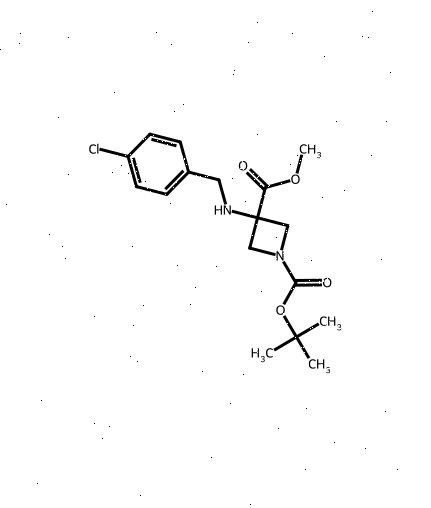 COC(=O)C1(NCc2ccc(Cl)cc2)CN(C(=O)OC(C)(C)C)C1